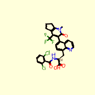 Cn1c2c(c(C(F)(F)F)c(-c3ccc(C[C@H](NC(=O)c4c(Cl)cccc4Cl)C(=O)O)c4ncccc34)c1=O)CCC2